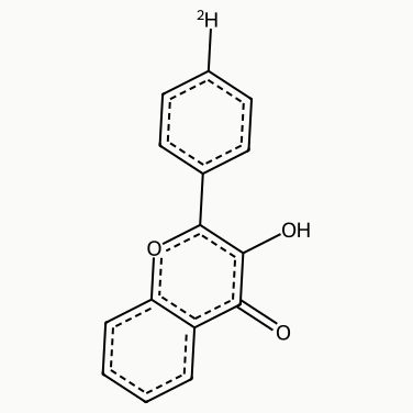 [2H]c1ccc(-c2oc3ccccc3c(=O)c2O)cc1